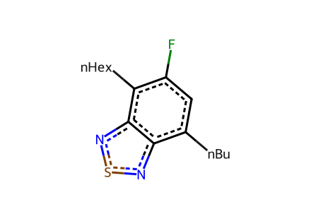 CCCCCCc1c(F)cc(CCCC)c2nsnc12